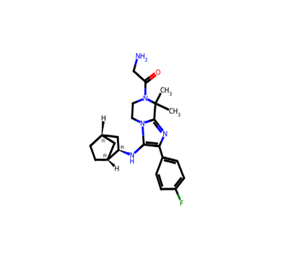 CC1(C)c2nc(-c3ccc(F)cc3)c(N[C@@H]3C[C@H]4CC[C@@H]3C4)n2CCN1C(=O)CN